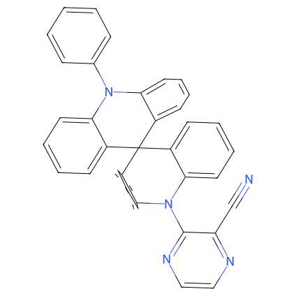 N#Cc1nccnc1N1c2ccccc2C2(c3ccccc3N(c3ccccc3)c3ccccc32)c2ccccc21